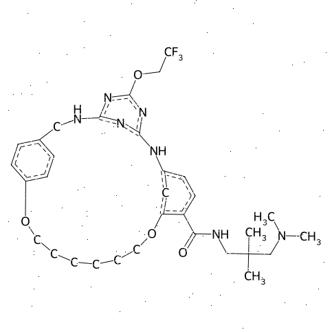 CN(C)CC(C)(C)CNC(=O)c1ccc2cc1OCCCCCCOc1ccc(cc1)CNc1nc(nc(OCC(F)(F)F)n1)N2